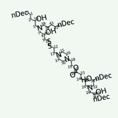 CCCCCCCCCCCCC(O)CN(CCCSSCCN1CCN(CCOC(=O)CCCCN(CC(O)CCCCCCCCCC)CC(O)CCCCCCCCCC)CC1)CC(O)CCCCCCCCCCCC